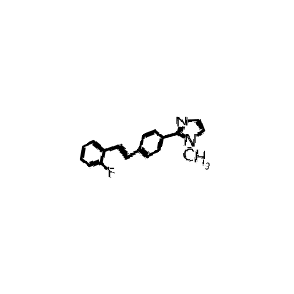 Cn1ccnc1-c1ccc(/C=C/c2ccccc2F)cc1